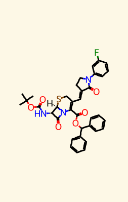 CC(C)(C)OC(=O)N[C@@H]1C(=O)N2C(C(=O)OC(c3ccccc3)c3ccccc3)=C(/C=C3\CCN(c4cccc(F)c4)C3=O)CS[C@H]12